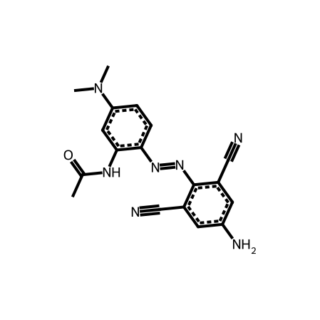 CC(=O)Nc1cc(N(C)C)ccc1/N=N/c1c(C#N)cc(N)cc1C#N